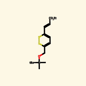 CCOC(=O)C=CC1=CC=C(CO[Si](C)(C)C(C)(C)C)SS1